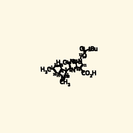 Cc1ccc2c(-c3nc4c(C(=O)O)cn(COC(=O)C(C)(C)C)c4nc3C)nn(C)c2c1